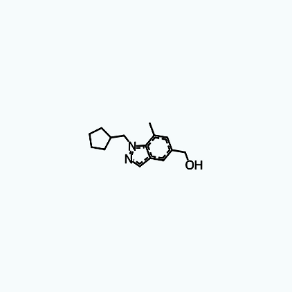 Cc1cc(CO)cc2cnn(CC3CCCC3)c12